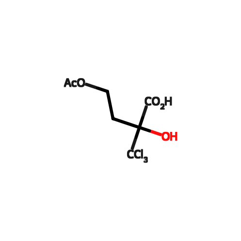 CC(=O)OCCC(O)(C(=O)O)C(Cl)(Cl)Cl